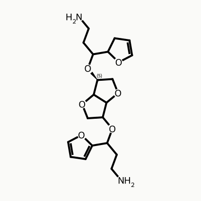 NCCC(OC1COC2C1OC[C@@H]2OC(CCN)C1CC=CO1)c1ccco1